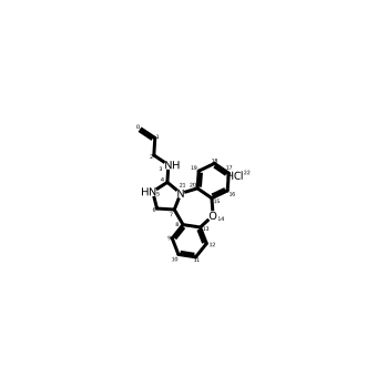 C=CCNC1NCC2c3ccccc3Oc3ccccc3N12.Cl